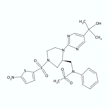 CC(C)(O)c1cnc(N2CCN(S(=O)(=O)c3ccc([N+](=O)[O-])s3)C[C@@H]2CN(c2ccccc2)S(C)(=O)=O)nc1